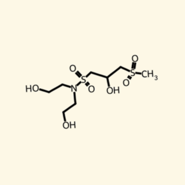 CS(=O)(=O)CC(O)CS(=O)(=O)N(CCO)CCO